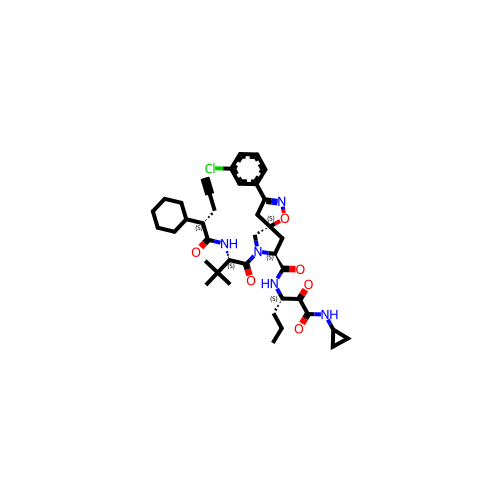 C#CC[C@H](C(=O)N[C@H](C(=O)N1C[C@@]2(CC(c3cccc(Cl)c3)=NO2)C[C@H]1C(=O)N[C@@H](CCC)C(=O)C(=O)NC1CC1)C(C)(C)C)C1CCCCC1